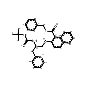 CC(C)(C)OC(=O)N[C@@H](COc1ccc2ccccc2c1C(=O)OCc1ccccc1)Cc1ccccn1